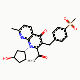 COC(=O)c1c(Cc2ccc(S(C)(=O)=O)cc2)c(=O)c2ccc(C)nc2n1[C@@H]1CC[C@@H](O)C1